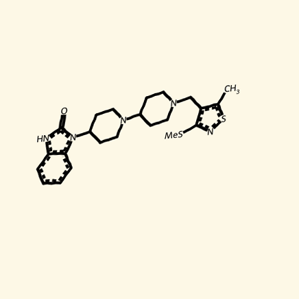 CSc1nsc(C)c1CN1CCC(N2CCC(n3c(=O)[nH]c4ccccc43)CC2)CC1